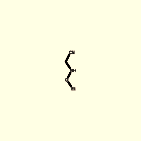 CCONCC#N